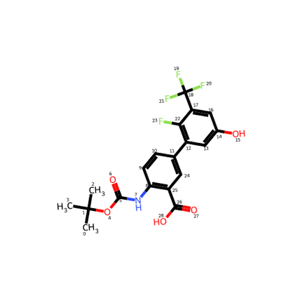 CC(C)(C)OC(=O)Nc1ccc(-c2cc(O)cc(C(F)(F)F)c2F)cc1C(=O)O